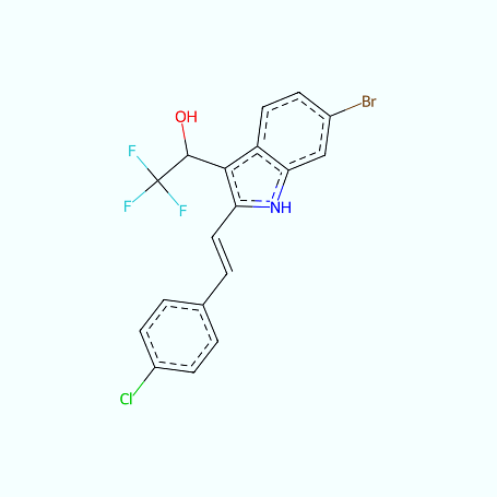 OC(c1c(C=Cc2ccc(Cl)cc2)[nH]c2cc(Br)ccc12)C(F)(F)F